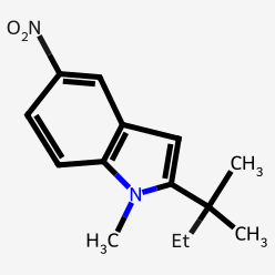 CCC(C)(C)c1cc2cc([N+](=O)[O-])ccc2n1C